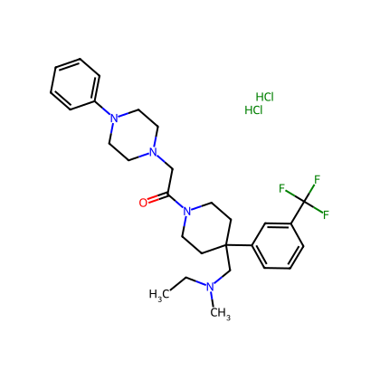 CCN(C)CC1(c2cccc(C(F)(F)F)c2)CCN(C(=O)CN2CCN(c3ccccc3)CC2)CC1.Cl.Cl